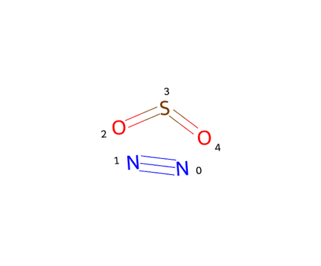 N#N.O=S=O